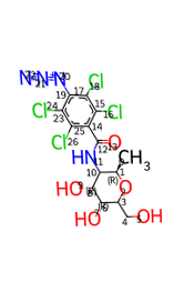 C[C@H]1OC(CO)[C@H](O)[C@H](O)C1NC(=O)c1c(Cl)c(Cl)c(N=[N+]=[N-])c(Cl)c1Cl